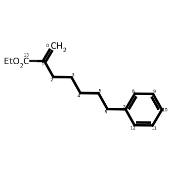 C=C(CCCCCc1ccccc1)C(=O)OCC